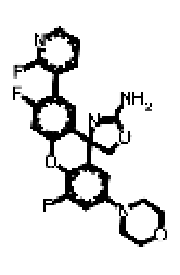 NC1=NC2(CO1)c1cc(-c3cccnc3F)c(F)cc1Oc1c(F)cc(N3CCOCC3)cc12